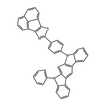 c1ccc(-n2c3ccccc3c3cc4c5ccccc5n(-c5ccc(-c6nc7c(s6)-c6cccc8cccc-7c68)cc5)c4cc32)cc1